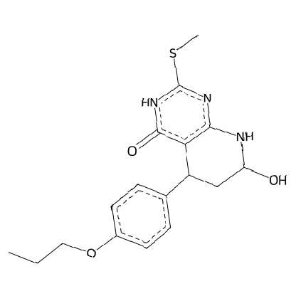 CCCOc1ccc(C2CC(O)Nc3nc(SC)[nH]c(=O)c32)cc1